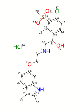 Cc1[nH]c2cc(OCCNCC(O)c3ccc(Cl)c(S(C)(=O)=O)c3C)ccc2c1C.Cl